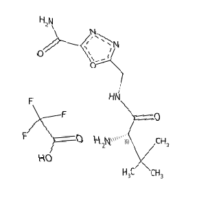 CC(C)(C)[C@H](N)C(=O)NCc1nnc(C(N)=O)o1.O=C(O)C(F)(F)F